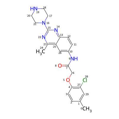 Cc1ccc(OCC(=O)Nc2ccc3nc(N4CCNCC4)nc(C)c3c2)c(Cl)c1